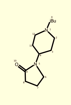 CCC(C)N1CCC(N2CCCC2=O)CC1